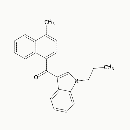 CCCn1cc(C(=O)c2ccc(C)c3ccccc23)c2ccccc21